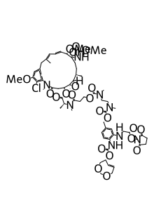 COC(=O)N[C@]1(O)CC[C@@H](C)[C@@H]2O[C@@]2(C)[C@@H](OC(=O)[C@H](C)N(C)C(=O)CCOC(=O)N(C)CCN(C)C(=O)OCc2ccc(NC(=O)OC3/C=C/COCOC3)c(NCC(=O)ON3C(=O)CCC3=O)c2)CC(=O)N(C)c2cc(cc(OC)c2Cl)C/C(C)=C/C=C/[C@H]1OC